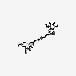 CCN(CC)CC(O[SiH](CCCSSSSCCC[SiH](OC)OC(CN(CC)CC)N(CC)CC)OC)N(CC)CC